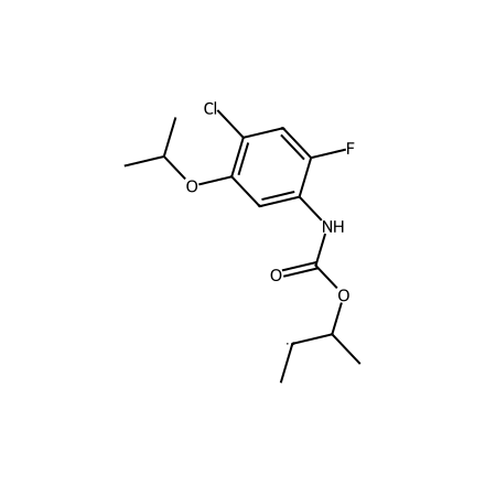 C[CH]C(C)OC(=O)Nc1cc(OC(C)C)c(Cl)cc1F